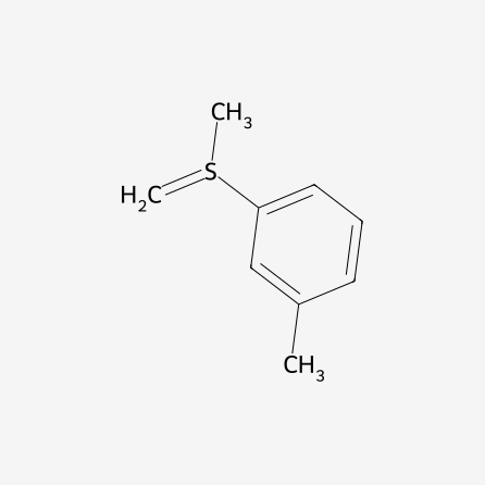 C=S(C)c1cccc(C)c1